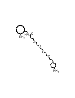 Nc1cccccccc(CNC(=O)CCOCCOCCOCCOCCN2CCN(N)CC2)c1